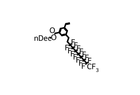 C=Cc1cc(CCC(F)(F)C(F)(F)C(F)(F)C(F)(F)C(F)(F)C(F)(F)C(F)(F)C(F)(F)F)cc(C(=O)OCCCCCCCCCC)c1